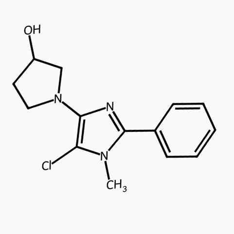 Cn1c(-c2ccccc2)nc(N2CCC(O)C2)c1Cl